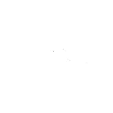 CON=C(CN1C(=O)c2ccccc2C1=O)c1ncc(OCC(F)(F)F)cc1Cl